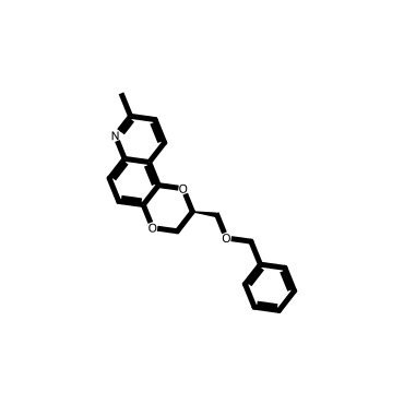 Cc1ccc2c3c(ccc2n1)OC[C@H](COCc1ccccc1)O3